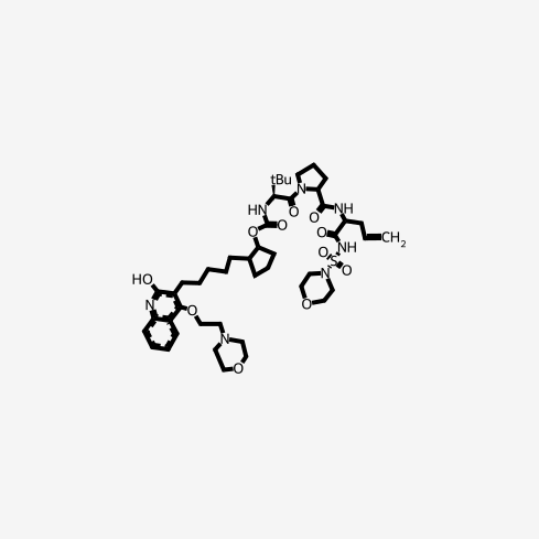 C=CCC(NC(=O)C1CCCN1C(=O)[C@@H](NC(=O)OC1CCCC1CCCCCc1c(O)nc2ccccc2c1OCCN1CCOCC1)C(C)(C)C)C(=O)NS(=O)(=O)N1CCOCC1